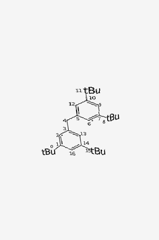 CC(C)(C)c1[c]c(Cc2[c]c(C(C)(C)C)cc(C(C)(C)C)c2)cc(C(C)(C)C)c1